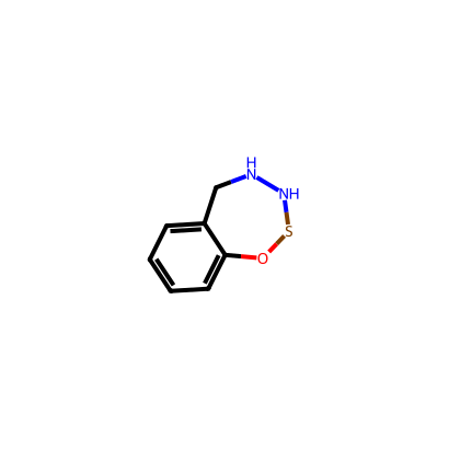 c1ccc2c(c1)CNNSO2